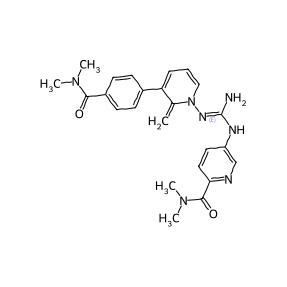 C=C1C(c2ccc(C(=O)N(C)C)cc2)=CC=CN1/N=C(\N)Nc1ccc(C(=O)N(C)C)nc1